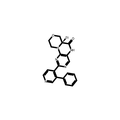 CC[C@]12COCCN1c1nc(-c3ccncc3-c3ccccc3)ncc1NC2=O